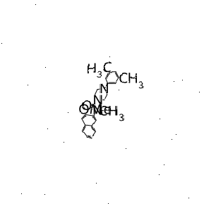 COc1cc2ccccc2cc1N(C)C(=O)N1CCN(c2cc(C)cc(C)c2)CC1